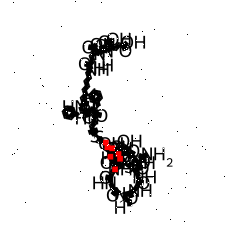 CC[C@H](C)[C@@H]1NC(=O)CNC(=O)C2Cc3c([nH]c4cc(OCCCSSC(C)(C)CCNC(=O)[C@H](Cc5ccccc5)NC(=O)[C@H](Cc5ccccc5)NC(=O)CCCCCCCNC(=O)CCC(NC(=O)NC(CCC(=O)O)C(=O)O)C(=O)O)ccc34)[S+]([O-])CC(NC(=O)CNC1=O)C(=O)N[C@@H](CC(N)=O)C(=O)N1C[C@H](O)CC1(C=O)N[C@@H]([C@@H](C)[C@@H](O)CO)C(=O)N2